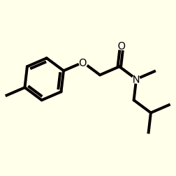 Cc1ccc(OCC(=O)N(C)CC(C)C)cc1